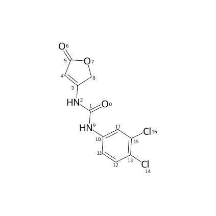 O=C(NC1=CC(=O)OC1)Nc1ccc(Cl)c(Cl)c1